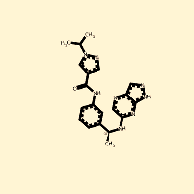 CC(C)n1cc(C(=O)Nc2cccc([C@H](C)Nc3cnc4cn[nH]c4n3)c2)cn1